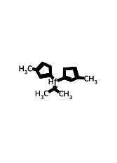 CC1=CC[C]([Hf]([C]2=CC(C)=CC2)=[C](C)C)=C1